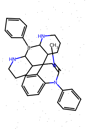 CN1CCCC2C1C1(c3ccccc3N2c2ccccc2)C2CCCNC2B(c2ccccc2)C2NCCCC21